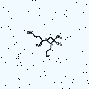 C=C(CCC=O)[C@H]1CC(C)(C)[C@@H]1CCC(C)=O